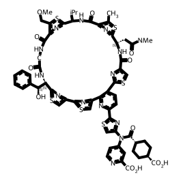 CNC(=O)C[C@@H]1NC(=O)c2csc(n2)-c2ccc(-c3nc(N(c4ccnc(C(=O)O)c4)C(=O)[C@H]4CC[C@H](C(=O)O)CC4)cs3)nc2-c2csc(n2)-c2csc(n2)[C@H]([C@@H](O)c2ccccc2)NC(=O)CNC(=O)c2nc(sc2COC)C(C(C)C)NC(=O)c2nc1sc2C